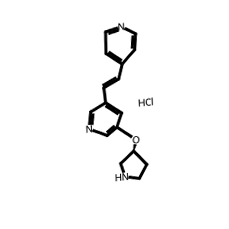 C(=Cc1cncc(O[C@H]2CCNC2)c1)c1ccncc1.Cl